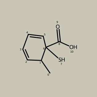 CC1C=CC=CC1(S)C(=O)O